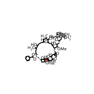 C=C1C2C[C@@H]3OC(C[C@@H](CO[Si](C)(C)C(C)(C)C)O[Si](C)(C)C(C)(C)C)[C@H](OC)C3CC(=O)CC3CC[C@@H]4O[C@@H]5[C@H]6OC7C[C@](CC[C@H](OC(=O)c8ccccc8)CC(=C)[C@H](O)CC[C@@H](C[C@H]1C)O2)(O[C@H]6[C@H]4O3)O[C@@H]75